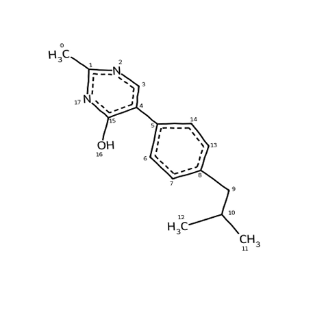 Cc1ncc(-c2ccc(CC(C)C)cc2)c(O)n1